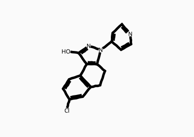 Oc1nn(-c2ccncc2)c2c1-c1ccc(Cl)cc1CC2